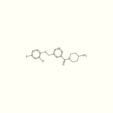 CC1CCN(C(=O)c2cncc(CSc3ccc(F)cc3Cl)c2)CC1